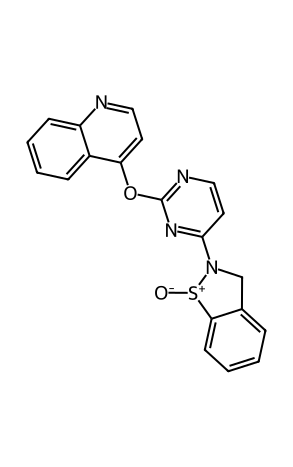 [O-][S+]1c2ccccc2CN1c1ccnc(Oc2ccnc3ccccc23)n1